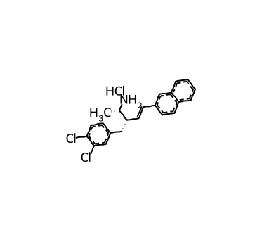 C[C@H](N)[C@H](/C=C/c1ccc2ccccc2c1)Cc1ccc(Cl)c(Cl)c1.Cl